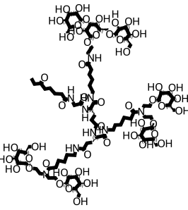 CCC(=O)CCCCC(=O)NCC(=O)N[C@@H](CCC(=O)N[C@@H](CCC(=O)NCCCCCC(=O)N(CCO[C@H]1O[C@H](CO)[C@@H](O)[C@H](O)[C@@H]1O)CCO[C@H]1O[C@H](CO)[C@@H](O)[C@H](O)[C@@H]1O)C(=O)NCCCCCC(=O)N(CCO[C@H]1O[C@H](CO)[C@@H](O)[C@H](O)[C@@H]1O)CCO[C@H]1O[C@H](CO)[C@@H](O)[C@H](O)[C@@H]1O)C(=O)NCCCCCC(=O)NCCO[C@H]1O[C@H](CO[C@H]2O[C@H](CO)[C@@H](O)[C@H](O)[C@@H]2O)[C@@H](O)[C@H](O[C@H]2O[C@H](CO)[C@@H](O)[C@H](O)[C@@H]2O)[C@@H]1O